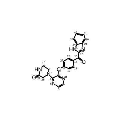 C[C@@H]1CN(c2nccnc2Oc2ccc(C(=O)c3nc4ccccc4[nH]3)cc2)CC(=O)N1